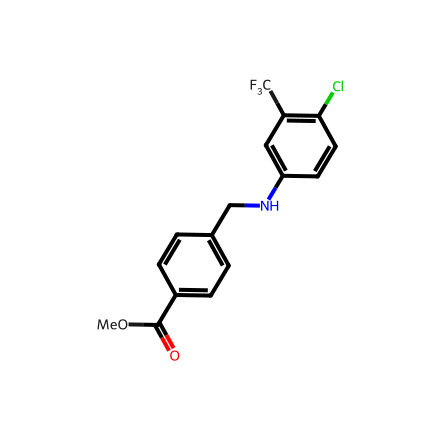 COC(=O)c1ccc(CNc2ccc(Cl)c(C(F)(F)F)c2)cc1